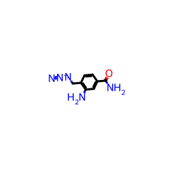 [N-]=[N+]=NCc1ccc(C(N)=O)cc1N